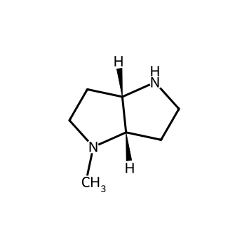 CN1CC[C@@H]2NCC[C@@H]21